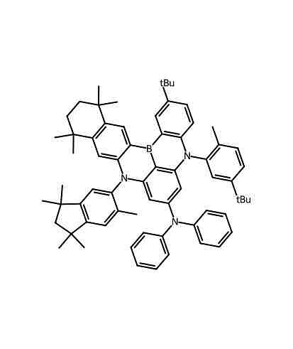 Cc1ccc(C(C)(C)C)cc1N1c2ccc(C(C)(C)C)cc2B2c3cc4c(cc3N(c3cc5c(cc3C)C(C)(C)CC5(C)C)c3cc(N(c5ccccc5)c5ccccc5)cc1c32)C(C)(C)CCC4(C)C